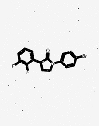 O=C1C(c2cccc(F)c2F)CCN1c1ccc(Br)cc1